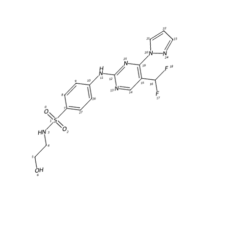 O=S(=O)(NCCO)c1ccc(Nc2ncc(C(F)F)c(-n3cccn3)n2)cc1